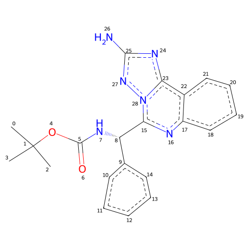 CC(C)(C)OC(=O)N[C@@H](c1ccccc1)c1nc2ccccc2c2nc(N)nn12